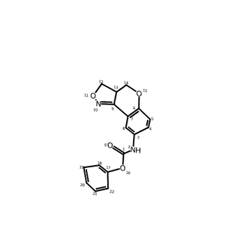 O=C(Nc1ccc2c(c1)C1=NOCC1CO2)Oc1ccccc1